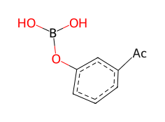 CC(=O)c1cccc(OB(O)O)c1